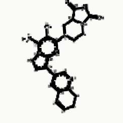 N#Cc1c(N2CCN3C(=O)NC(=O)C3C2)nc2c(-c3cnc4c(c3)C=CCC4)cnn2c1N